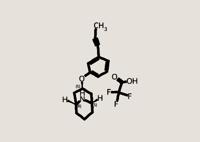 CC#Cc1cccc(O[C@@H]2C[C@H]3CCC[C@@H](C2)N3)c1.O=C(O)C(F)(F)F